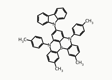 Cc1ccc(N2c3ccc(C)cc3B3c4cc(C)ccc4N(c4ccc(C)cc4)c4cc(-n5c6ccccc6c6ccccc65)cc2c43)cc1